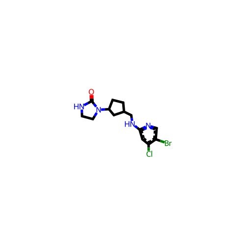 O=C1NCCN1C1CCC(CNc2cc(Cl)c(Br)cn2)C1